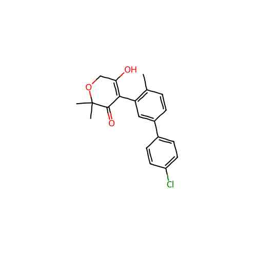 Cc1ccc(-c2ccc(Cl)cc2)cc1C1=C(O)COC(C)(C)C1=O